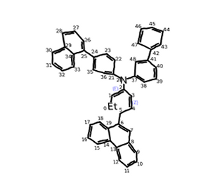 CC/C=C(\C=C/Cc1cc2ccccc2c2ccccc12)N(c1ccc(-c2cccc3ccccc23)cc1)c1cccc(-c2ccccc2)c1